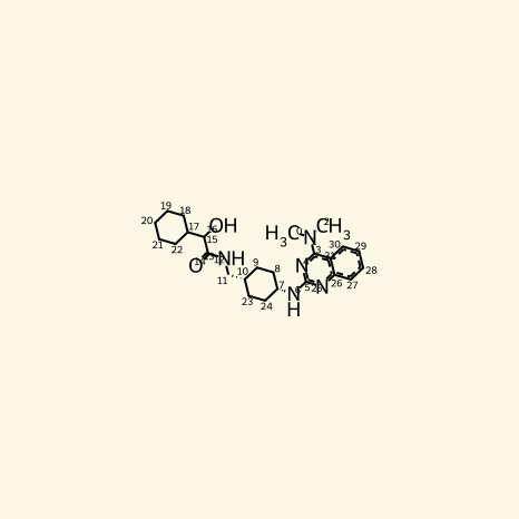 CN(C)c1nc(N[C@H]2CC[C@@H](CNC(=O)C(O)C3CCCCC3)CC2)nc2ccccc12